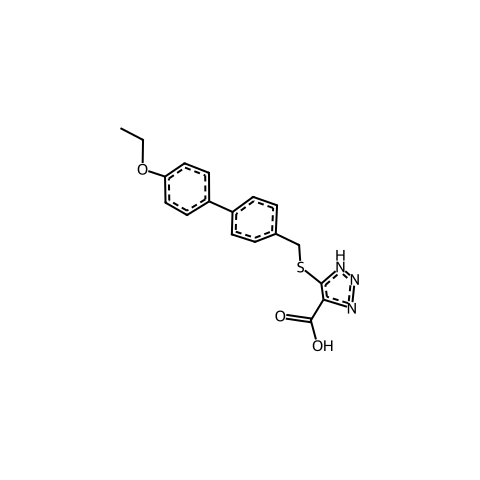 CCOc1ccc(-c2ccc(CSc3[nH]nnc3C(=O)O)cc2)cc1